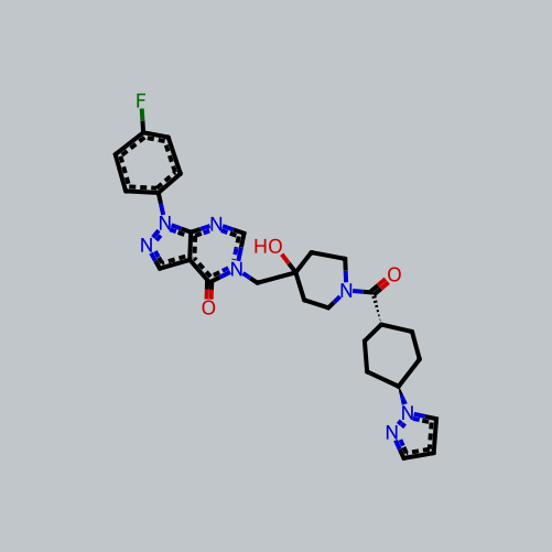 O=c1c2cnn(-c3ccc(F)cc3)c2ncn1CC1(O)CCN(C(=O)[C@H]2CC[C@H](n3cccn3)CC2)CC1